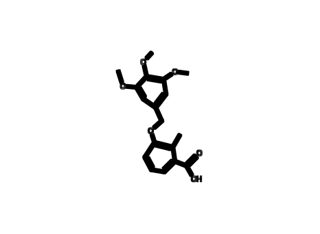 COc1cc(COc2cccc(C(=O)O)c2C)cc(OC)c1OC